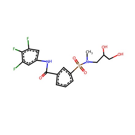 CN(CC(O)CO)S(=O)(=O)c1cccc(C(=O)Nc2cc(F)c(F)c(F)c2)c1